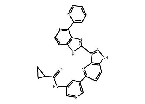 O=C(Nc1cncc(-c2ccc3[nH]nc(-c4nc5c(-c6ccccn6)nccc5[nH]4)c3n2)c1)C1CC1